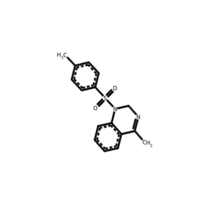 CC1=NCN(S(=O)(=O)c2ccc(C)cc2)c2ccccc21